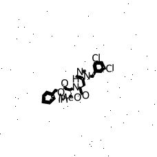 COC(=O)[C@H](Cc1cncn1Cc1cc(Cl)cc(Cl)c1)N[C@H](CC(C)C)C(=O)OCc1ccccc1